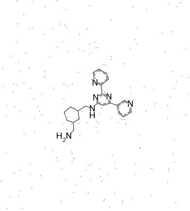 NCC1CCCC(CNc2cc(-c3cccnc3)nc(-c3ccccn3)n2)C1